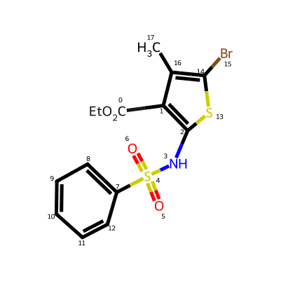 CCOC(=O)c1c(NS(=O)(=O)c2ccccc2)sc(Br)c1C